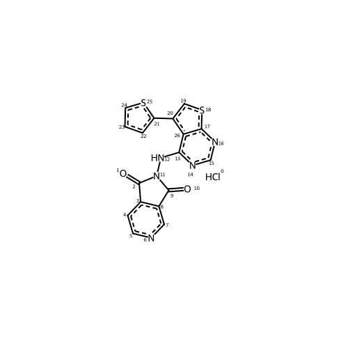 Cl.O=C1c2ccncc2C(=O)N1Nc1ncnc2scc(-c3cccs3)c12